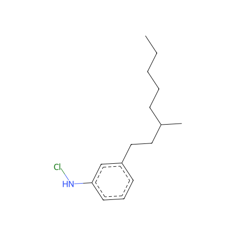 CCCCCC(C)CCc1cccc(NCl)c1